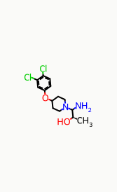 C[C@@H](O)C(N)N1CCC(Oc2ccc(Cl)c(Cl)c2)CC1